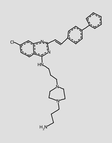 NCCCN1CCN(CCCNc2nc(C=Cc3ccc(-c4ccccc4)cc3)nc3cc(Cl)ccc23)CC1